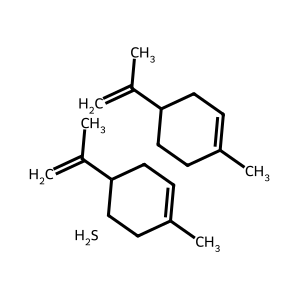 C=C(C)C1CC=C(C)CC1.C=C(C)C1CC=C(C)CC1.S